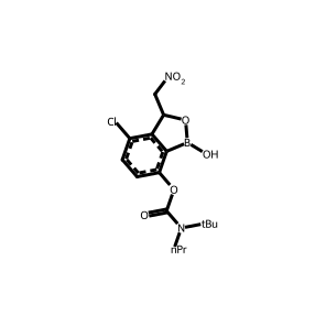 CCCN(C(=O)Oc1ccc(Cl)c2c1B(O)OC2C[N+](=O)[O-])C(C)(C)C